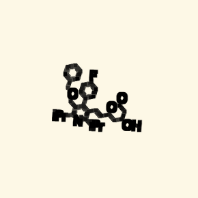 CC(C)c1nc(C(C)C)c(COCc2ccccc2)c(-c2ccc(F)cc2)c1C=CC1CC(O)CC(=O)O1